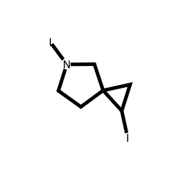 IC1CC12CCN(I)C2